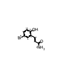 NC(=O)C=Cc1cc(Br)ccc1O